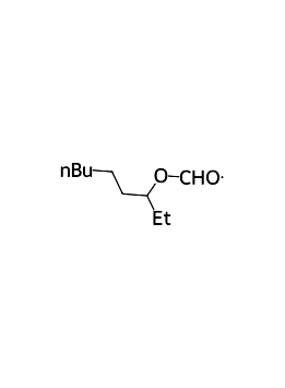 CCCCCCC(CC)O[C]=O